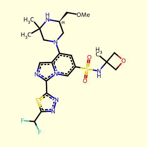 COC[C@H]1CN(c2cc(S(=O)(=O)NC3(C)COC3)cn3c(-c4nnc(C(F)F)s4)ncc23)CC(C)(C)N1